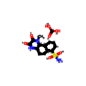 Cn1c(=O)c(=O)[nH]c2ccc3c(S(N)(=O)=O)cccc3c21.O=C(O)O